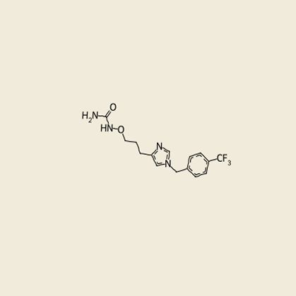 NC(=O)NOCCCc1cn(Cc2ccc(C(F)(F)F)cc2)cn1